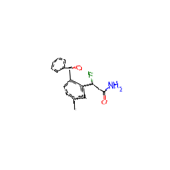 Cc1ccc(C(=O)c2ccccc2)c(C(F)C(N)=O)c1